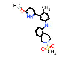 COc1ccc(-c2cc(Nc3cccc4c3CCN(S(C)(=O)=O)C4)ccc2C)nn1